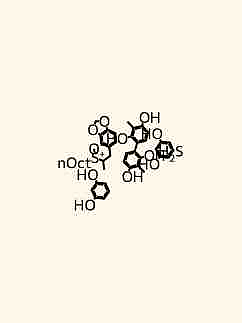 CCCCCCCC[S+]([O-])C(C)Cc1ccc2c(c1)OCO2.Cc1c(O)ccc(-c2ccc(O)c(C)c2O)c1O.Oc1cccc(O)c1.Oc1cccc(O)c1.S